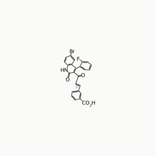 O=C(O)c1cccc(/C=C/C(=O)c2c(-c3ccccc3F)c3cc(Br)ccc3[nH]c2=O)c1